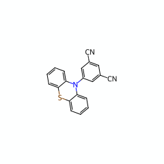 N#Cc1cc(C#N)cc(N2c3ccccc3Sc3ccccc32)c1